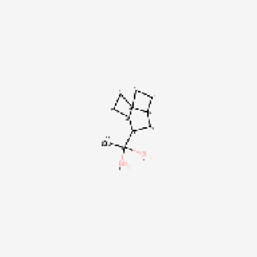 BC(B)(C1CC2CCC23CCC13)C(C)(C)C